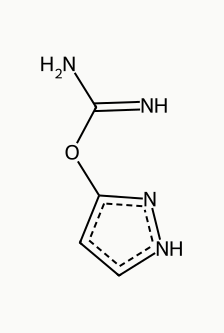 N=C(N)Oc1cc[nH]n1